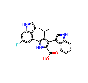 CC(C)c1c(-c2cc(F)cc3[nH]ccc23)[nH]c(C(=O)O)c1-c1c[nH]c2ccccc12